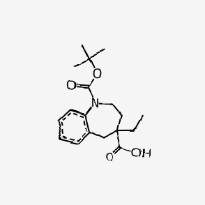 CCC1(C(=O)O)CCN(C(=O)OC(C)(C)C)c2ccccc2C1